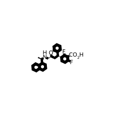 C[C@@H](NC[C@H]1C[C@@H](c2ccc(F)c(C(=O)O)c2F)c2ccccc2O1)c1cccc2ccccc12